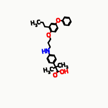 CCCc1cc(Oc2ccccc2)ccc1OCCCNc1ccc(C(C)(C)C(=O)O)cc1